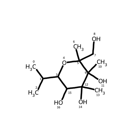 CC(C)C1OC(C)(CO)C(C)(O)C(C)(O)C1O